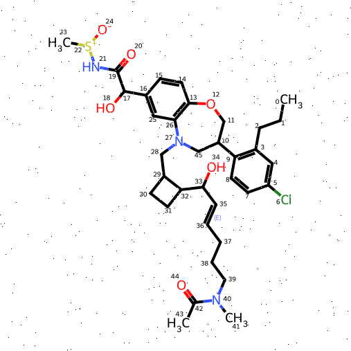 CCCc1cc(Cl)ccc1C1COc2ccc(C(O)C(=O)N[S+](C)[O-])cc2N(CC2CCC2C(O)/C=C/CCCN(C)C(C)=O)C1